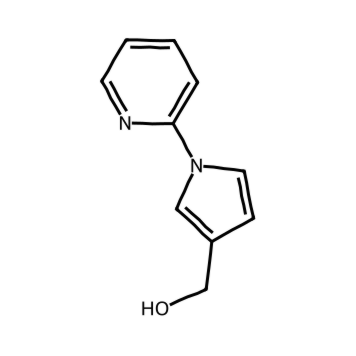 OCc1ccn(-c2ccccn2)c1